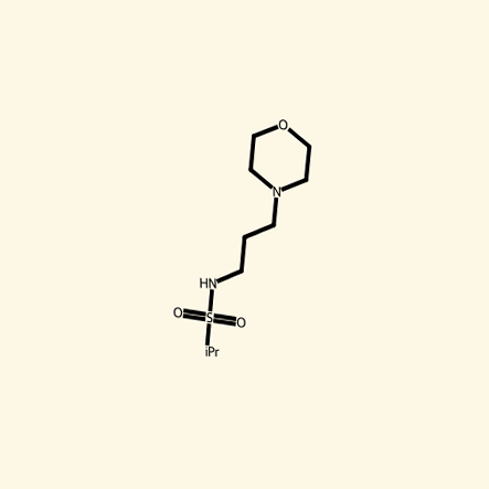 CC(C)S(=O)(=O)NCCCN1CCOCC1